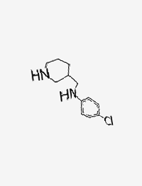 Clc1ccc(NCC2CCCNC2)cc1